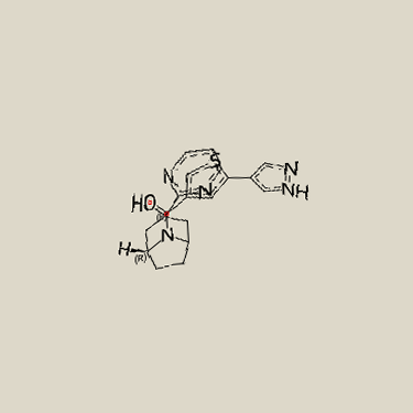 O=C(c1csc(-c2cn[nH]c2)c1)N1C2CC[C@@H]1C[C@@](O)(c1ncccn1)C2